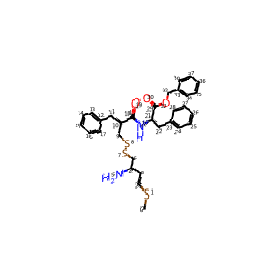 CSCCC(N)CSSCC(Cc1ccccc1)C(=O)NC(Cc1ccccc1)C(=O)OCc1ccccc1